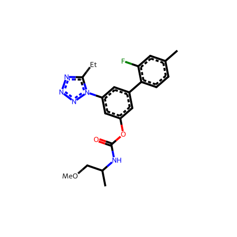 CCc1nnnn1-c1cc(OC(=O)NC(C)COC)cc(-c2ccc(C)cc2F)c1